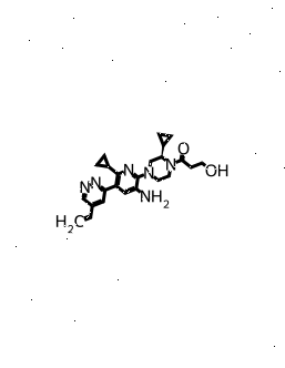 C=Cc1cnnc(-c2cc(N)c(N3CCN(C(=O)CCO)[C@H](C4CC4)C3)nc2C2CC2)c1